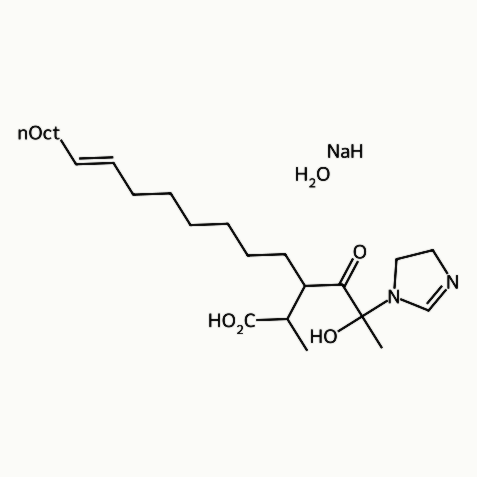 CCCCCCCCC=CCCCCCCC(C(=O)C(C)(O)N1C=NCC1)C(C)C(=O)O.O.[NaH]